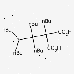 CCCCC(CCCC)C(CCCC)(CCCC)C(CCCC)(C(=O)O)C(=O)O